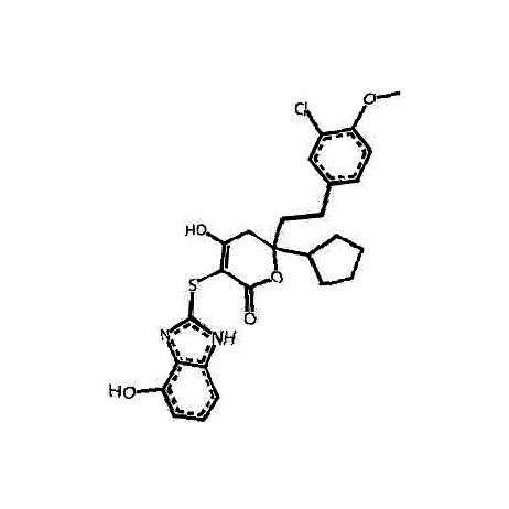 COc1ccc(CCC2(C3CCCC3)CC(O)=C(Sc3nc4c(O)cccc4[nH]3)C(=O)O2)cc1Cl